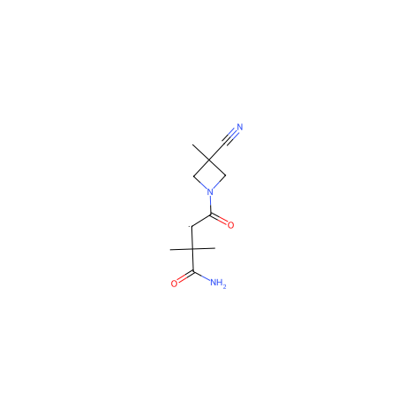 CC1(C#N)CN(C(=O)[CH]C(C)(C)C(N)=O)C1